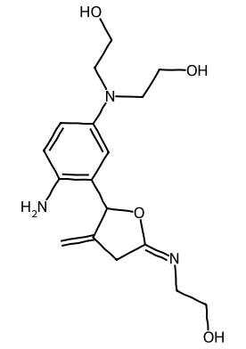 C=C1CC(=NCCO)OC1c1cc(N(CCO)CCO)ccc1N